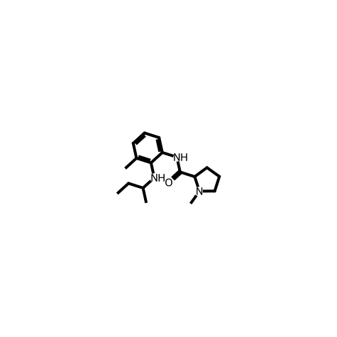 CCC(C)Nc1c(C)cccc1NC(=O)C1CCCN1C